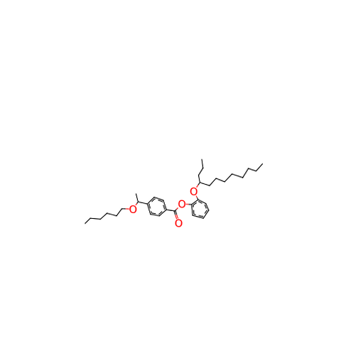 CCCCCCCCC(CCC)Oc1ccccc1OC(=O)c1ccc(C(C)OCCCCCC)cc1